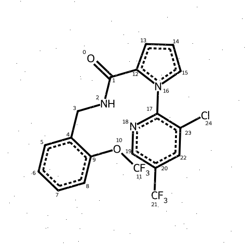 O=C(NCc1ccccc1OC(F)(F)F)c1cccn1-c1ncc(C(F)(F)F)cc1Cl